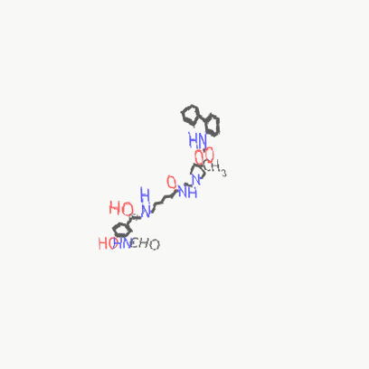 CC1(OC(=O)Nc2ccccc2-c2ccccc2)CCN(CCNC(=O)CCCCCNC[C@@H](O)c2ccc(O)c(NC=O)c2)CC1